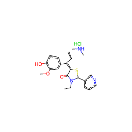 C=CC(=C1SC(c2cccnc2)N(CC)C1=O)c1ccc(O)c(OC)c1.CNC.Cl